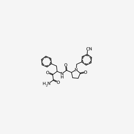 N#Cc1cccc(CN2C(=O)CCC2C(=O)NC(Cc2ccccc2)C(=O)C(N)=O)c1